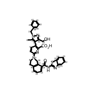 Cc1c(-c2ccc(N3CCc4cccc(C(=O)Nc5nc6ccccc6s5)c4C3)nc2C(=O)O)c(CO)nn1Cc1ccccc1